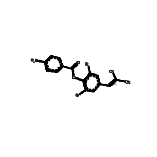 [C-]#[N+]/C(C#N)=C\c1cc(Br)c(OC(=O)c2ccc([N+](=O)[O-])cc2)c(Br)c1